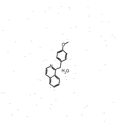 COc1ccc(Cc2nccc3ccccc23)cc1.O